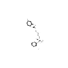 COc1ccccc1NS(=O)(=O)CCCCSc1nc2cc(C)ccc2s1